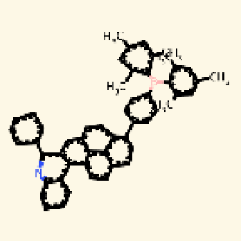 Cc1cc(C)c(B(c2ccc(-c3ccc4ccc5c6c(cc7ccc3c4c75)c(-c3ccccc3)nc3ccccc36)cc2)c2c(C)cc(C)cc2C)c(C)c1